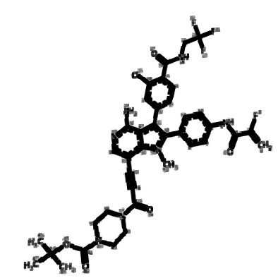 C=C(F)C(=O)Nc1ccc(-c2c(-c3ccc(C(=O)NCC(F)(F)F)c(Cl)c3)c3c(N)ncc(C#CC(=O)N4CCN(C(=O)OC(C)(C)C)CC4)c3n2C)cc1